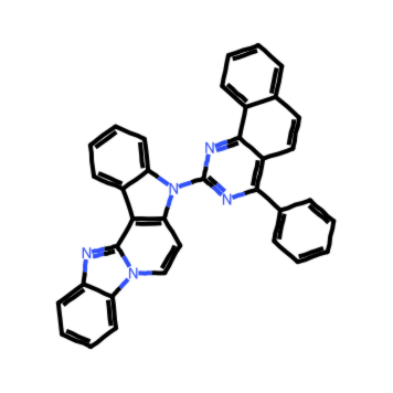 c1ccc(-c2nc(-n3c4ccccc4c4c3ccn3c5ccccc5nc43)nc3c2ccc2ccccc23)cc1